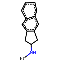 CCNC1Cc2cc3ccccc3cc2C1